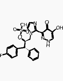 CS(=O)(=O)O[C@@H](Cn1ccnc1-c1n[nH]cc(O)c1=O)[C@H](c1ccccc1)c1ccc(F)cc1